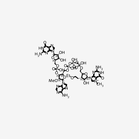 CCOCC[C@H]1[C@@H](O)[C@H](n2c[n+](C)c3c(=O)[nH]c(N)nc32)O[C@@H]1COP(=O)(O)OP(=O)(O)OP(=O)(O)OC[C@H]1O[C@@H](n2cnc3c(N)ncnc32)[C@H](OC)[C@@H]1OP(=O)(O)OC[C@H]1O[C@@H](n2cnc3c(=O)[nH]c(N)nc32)[C@H](O)[C@@H]1O